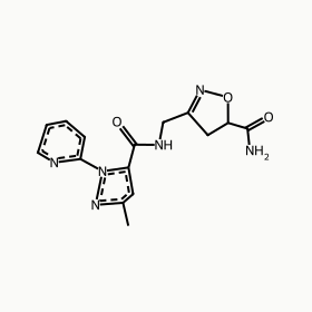 Cc1cc(C(=O)NCC2=NOC(C(N)=O)C2)n(-c2ccccn2)n1